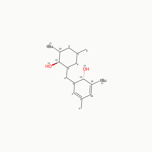 CC1=CC(CC2CC(C)CC(C(C)(C)C)[C@@H]2O)[C@H](O)C(C(C)(C)C)=C1